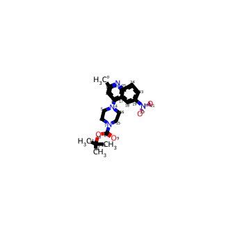 Cc1cc(N2CCN(C(=O)OC(C)(C)C)CC2)c2cc([N+](=O)[O-])ccc2n1